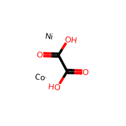 O=C(O)C(=O)O.[Co].[Ni]